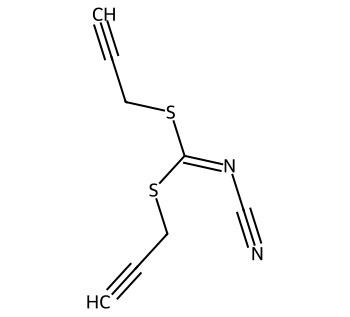 C#CCSC(=NC#N)SCC#C